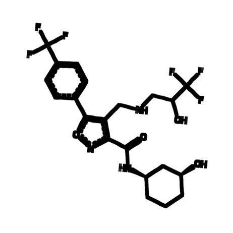 O=C(N[C@@H]1CCC[C@H](O)C1)c1noc(-c2ccc(C(F)(F)F)cc2)c1CNCC(O)C(F)(F)F